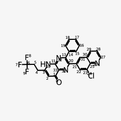 O=c1cc(CCC(F)(F)F)[nH]c2nc(-c3ccccc3)c(-c3cc(Cl)c4ncccc4c3)nc12